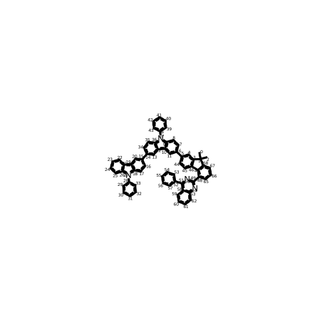 CC1(C)c2cc(-c3ccc4c(c3)c3cc(-c5ccc6c(c5)c5ccccc5n6-c5ccccc5)ccc3n4-c3ccccc3)ccc2-c2c(-c3nc(-c4ccccc4)c4ccccc4n3)cccc21